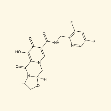 C[C@H]1CO[C@@H]2Cn3cc(C(=O)NCc4ncc(F)cc4F)c(=O)c(O)c3C(=O)N12